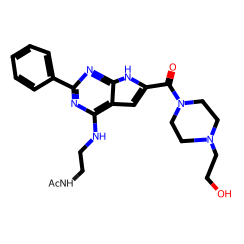 CC(=O)NCCNc1nc(-c2ccccc2)nc2[nH]c(C(=O)N3CCN(CCO)CC3)cc12